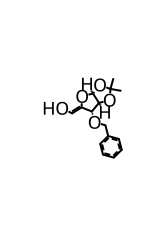 CC1(C)O[C@H]2O/C(=C\O)[C@@H](OCc3ccccc3)[C@H]2O1